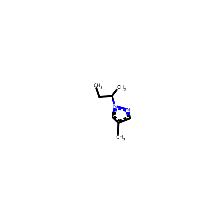 CCC(C)n1cc(C)cn1